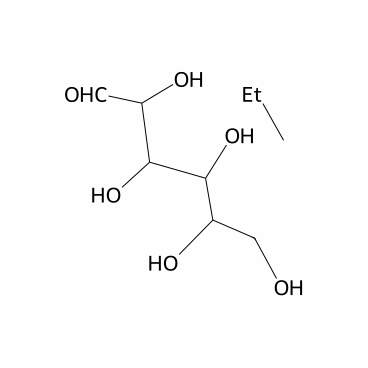 CCC.O=CC(O)C(O)C(O)C(O)CO